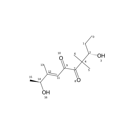 CC[C@H](O)C(C)(C)C(=O)C(=O)/C=C(\C)[C@H](C)O